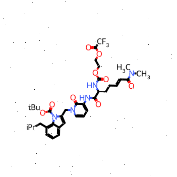 CC(C)Cc1cccc2cc(Cn3cccc(NC(=O)[C@H](CC/C=C/C(=O)N(C)C)NC(=O)OCCOC(=O)C(F)(F)F)c3=O)n(C(=O)OC(C)(C)C)c12